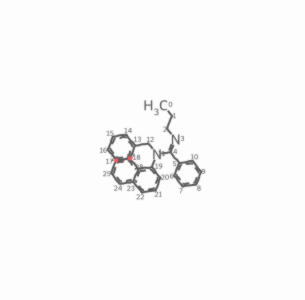 CCC/N=C(/c1ccccc1)N(Cc1ccccc1)c1cccc2ccccc12